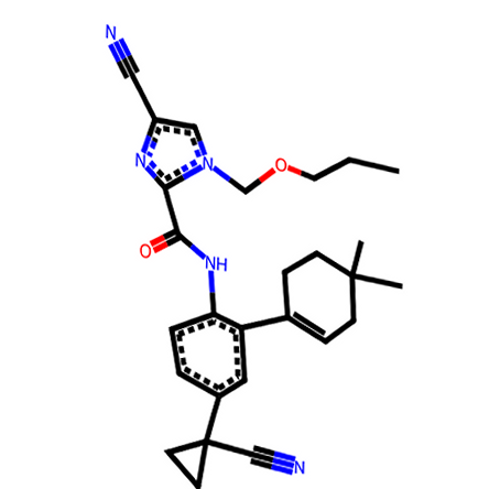 CCCOCn1cc(C#N)nc1C(=O)Nc1ccc(C2(C#N)CC2)cc1C1=CCC(C)(C)CC1